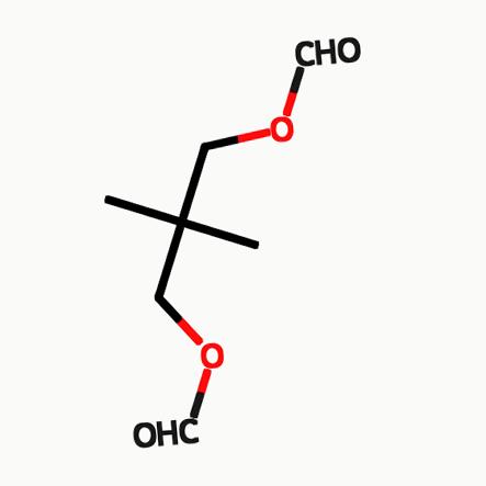 CC(C)(COC=O)COC=O